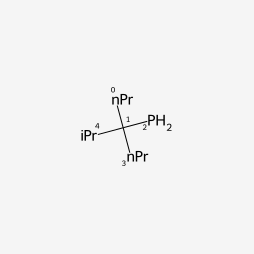 CCCC(P)(CCC)C(C)C